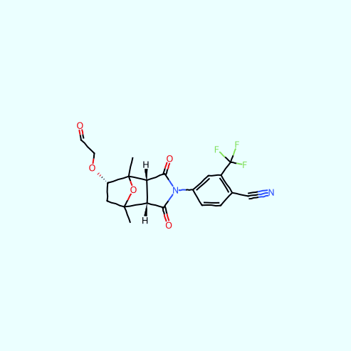 CC12C[C@H](OCC=O)C(C)(O1)[C@@H]1C(=O)N(c3ccc(C#N)c(C(F)(F)F)c3)C(=O)[C@@H]12